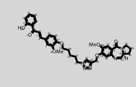 COc1cc(/C=C/C(=O)c2ccccc2O)ccc1OCCCCCn1cc(COc2cc3c(cc2OC)C(=O)N2CCC[C@H]2C=N3)nn1